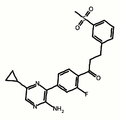 CS(=O)(=O)c1cccc(CCC(=O)c2ccc(-c3nc(C4CC4)cnc3N)cc2F)c1